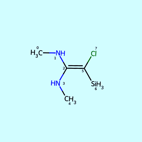 CNC(NC)=C([SiH3])Cl